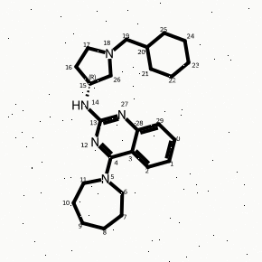 c1ccc2c(N3CCCCCC3)nc(N[C@@H]3CCN(CC4CCCCC4)C3)nc2c1